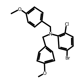 COc1ccc(CN(Cc2ccc(OC)cc2)c2cc(Br)ccc2Cl)cc1